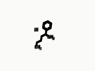 CCCCC(N)c1ccccc1.I